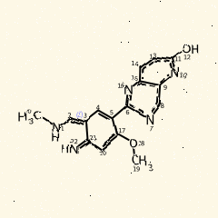 CN/C=C1/C=C(c2ncc3nc(O)ccc3n2)C(OC)=CC1=N